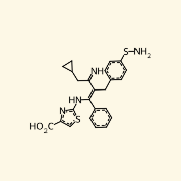 N=C(CC1CC1)/C(Cc1ccc(SN)cc1)=C(\Nc1nc(C(=O)O)cs1)c1ccccc1